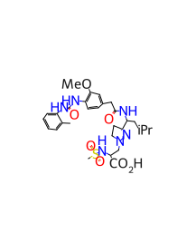 COc1cc(CC(=O)NC(CC(C)C)C2=NN(CC(NS(C)(=O)=O)C(=O)O)CC2)ccc1NC(=O)Nc1ccccc1C